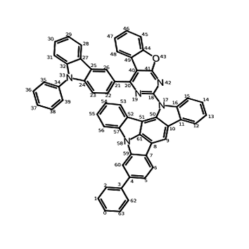 c1ccc(-c2ccc3c4cc5c6ccccc6n(-c6nc(-c7ccc8c(c7)c7ccccc7n8-c7ccccc7)c7c(n6)oc6ccccc67)c5c5c6ccccc6n(c3c2)c45)cc1